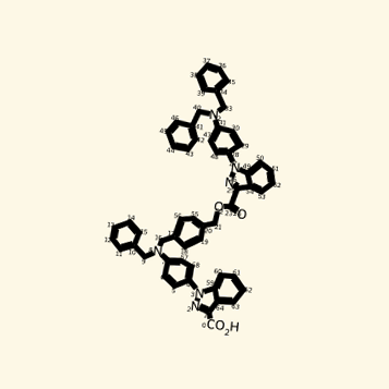 O=C(O)c1nn(-c2ccc(N(Cc3ccccc3)Cc3ccc(COC(=O)c4nn(-c5ccc(N(Cc6ccccc6)Cc6ccccc6)cc5)c5ccccc45)cc3)cc2)c2ccccc12